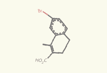 CC1=C(C(=O)O)CCCc2ccc(Br)cc21